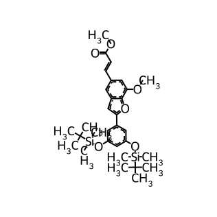 COC(=O)/C=C/c1cc(OC)c2oc(-c3cc(O[Si](C)(C)C(C)(C)C)cc(O[Si](C)(C)C(C)(C)C)c3)cc2c1